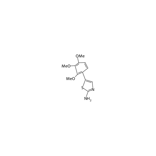 COc1ccc(-c2cnc(N)s2)c(OC)c1OC